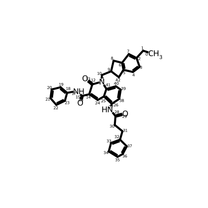 CCc1ccc2c(c1)CC(Cn1c(=O)c(C(=O)Nc3ccccc3)cc3c(NC(=O)CCc4ccccc4)cccc31)C2